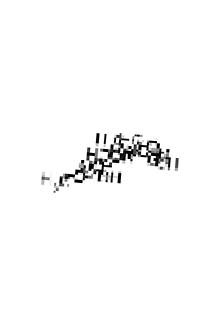 CCc1ccc(Cc2cccc(Cc3cc(/N=N/c4ccc5c(S(=O)(=O)O)cccc5c4O)c(CC)cc3O)c2O)c(O)c1